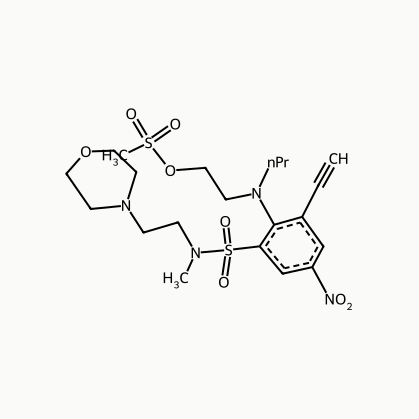 C#Cc1cc([N+](=O)[O-])cc(S(=O)(=O)N(C)CCN2CCOCC2)c1N(CCC)CCOS(C)(=O)=O